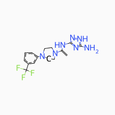 C=C(Nc1n[nH]c(N)n1)N1CCN(c2cccc(C(F)(F)F)c2)CC1